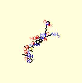 CC[C@H](C)[C@H](NC(=O)[C@H]1C[C@H](C)CCN1C)C(=O)N(CC)[C@H](C[C@@H](OC(C)=O)c1nc(C(=O)NC2Cc3ccc(NC(=O)[C@H](CCCCN)NC(=O)CCCCCN4C(=O)C=CC4=O)cc3[C@H](C(=O)O)C2)cs1)C(C)C